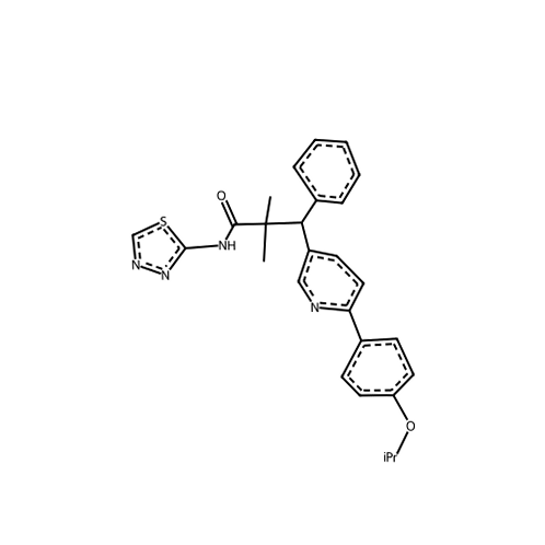 CC(C)Oc1ccc(-c2ccc(C(c3ccccc3)C(C)(C)C(=O)Nc3nncs3)cn2)cc1